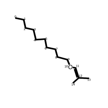 CCCCCCCCCCOC=C(C)C